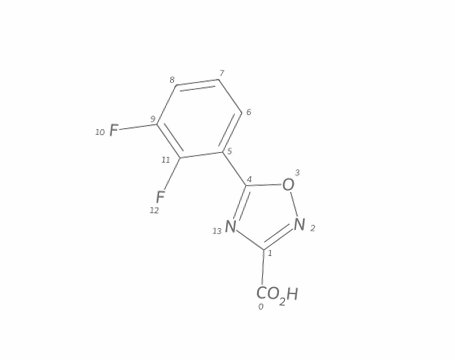 O=C(O)c1noc(-c2cccc(F)c2F)n1